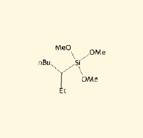 CCCCC(CC)[Si](OC)(OC)OC